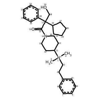 C[N+](C)(CCc1ccccc1)C1CCN(C(=O)C(CO)(c2ccccc2)C2CCCC2)CC1